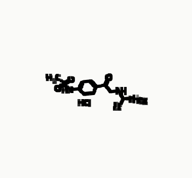 CCCCCCC(CC)NCC(=O)c1ccc(NS(C)(=O)=O)cc1.Cl